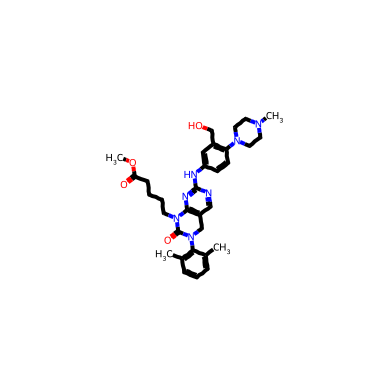 COC(=O)CCCCN1C(=O)N(c2c(C)cccc2C)Cc2cnc(Nc3ccc(N4CCN(C)CC4)c(CO)c3)nc21